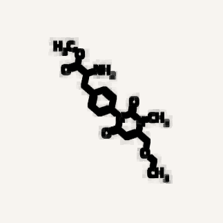 CCOCc1cc(=O)n(-c2ccc(CC(N)C(=O)OC)cc2)c(=O)n1C